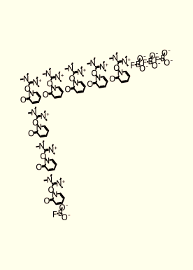 CN(C)C(On1ccccc1=O)=[N+](C)C.CN(C)C(On1ccccc1=O)=[N+](C)C.CN(C)C(On1ccccc1=O)=[N+](C)C.CN(C)C(On1ccccc1=O)=[N+](C)C.CN(C)C(On1ccccc1=O)=[N+](C)C.CN(C)C(On1ccccc1=O)=[N+](C)C.CN(C)C(On1ccccc1=O)=[N+](C)C.CN(C)C(On1ccccc1=O)=[N+](C)C.[O-]B([O-])F.[O-]B([O-])F.[O-]B([O-])F.[O-]B([O-])F